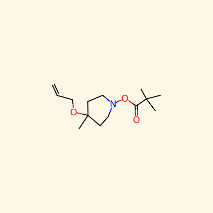 C=CCOC1(C)CCN(OC(=O)C(C)(C)C)CC1